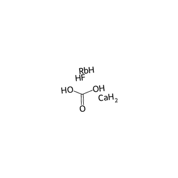 F.O=C(O)O.[CaH2].[RbH]